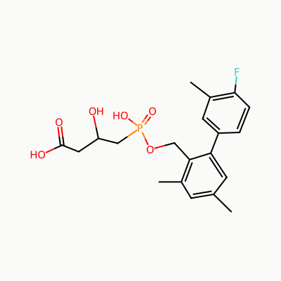 Cc1cc(C)c(COP(=O)(O)CC(O)CC(=O)O)c(-c2ccc(F)c(C)c2)c1